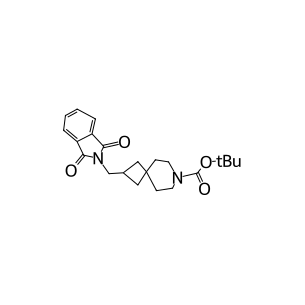 CC(C)(C)OC(=O)N1CCC2(CC1)CC(CN1C(=O)c3ccccc3C1=O)C2